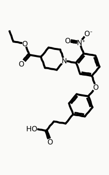 CCOC(=O)C1CCN(c2cc(Oc3ccc(CCC(=O)O)cc3)ccc2[N+](=O)[O-])CC1